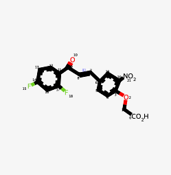 O=C(O)COc1ccc(/C=C/C(=O)c2ccc(F)cc2F)cc1[N+](=O)[O-]